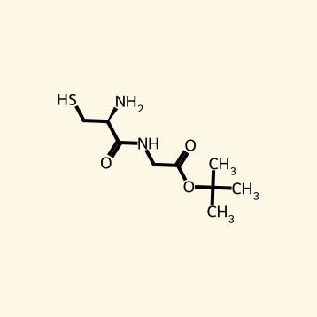 CC(C)(C)OC(=O)CNC(=O)[C@H](N)CS